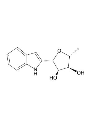 C[C@H]1O[C@@H](c2cc3ccccc3[nH]2)[C@H](O)[C@@H]1O